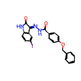 O=C1Nc2ccc(I)cc2/C1=N\NC(=O)c1ccc(OCc2ccccc2)cc1